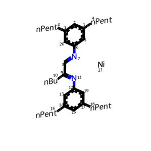 CCCCCc1cc(CCCCC)cc(N=CC(CCCC)=Nc2cc(CCCCC)cc(CCCCC)c2)c1.[Ni]